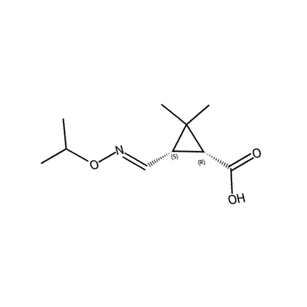 CC(C)ON=C[C@H]1[C@@H](C(=O)O)C1(C)C